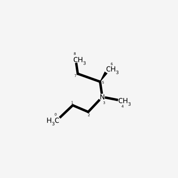 CCCN(C)[C@H](C)CC